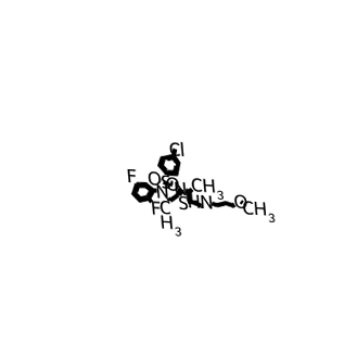 COCCCNCc1sc(C(C)N(c2cc(F)ccc2F)S(=O)(=O)c2ccc(Cl)cc2)nc1C